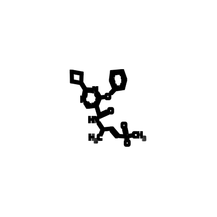 CC(C=CS(C)(=O)=O)NC(=O)c1cnc(C2CCC2)nc1Oc1ccccc1